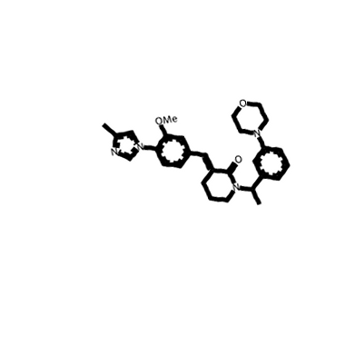 COc1cc(C=C2CCCN(C(C)c3cccc(N4CCOCC4)c3)C2=O)ccc1-n1cnc(C)c1